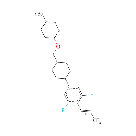 CCCCC1CCC(OCC2CCC(c3cc(F)c(/C=C/C(F)(F)F)c(F)c3)CC2)CC1